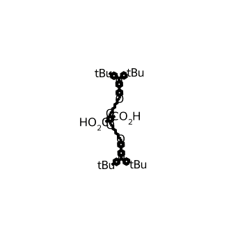 CC(C)(C)c1ccc(N(c2ccc(-c3ccc(OCCCCCCOc4cc(C(=O)O)c(OCCCCCCOc5ccc(-c6ccc(N(c7ccc(C(C)(C)C)cc7)c7ccc(C(C)(C)C)cc7)cc6)cc5)cc4C(=O)O)cc3)cc2)c2ccc(C(C)(C)C)cc2)cc1